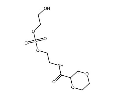 O=C(NCCOS(=O)(=O)OCCO)C1COCCO1